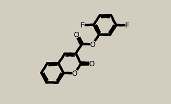 O=C(Oc1cc(F)ccc1F)c1cc2ccccc2oc1=O